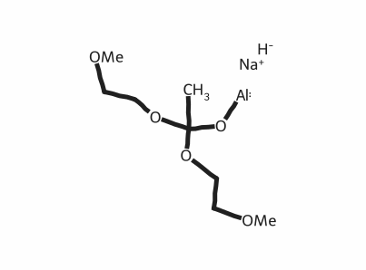 COCCOC(C)([O][Al])OCCOC.[H-].[Na+]